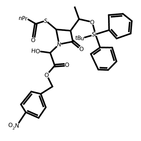 CCCC(=O)SC1C(C(C)O[Si](c2ccccc2)(c2ccccc2)C(C)(C)C)C(=O)N1C(O)C(=O)OCc1ccc([N+](=O)[O-])cc1